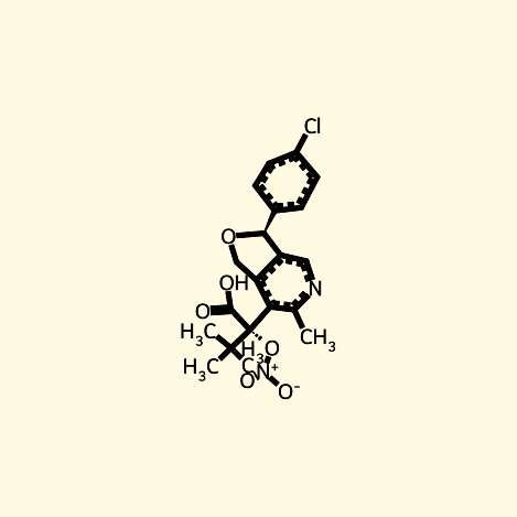 Cc1ncc2c(c1[C@](O[N+](=O)[O-])(C(=O)O)C(C)(C)C)CO[C@H]2c1ccc(Cl)cc1